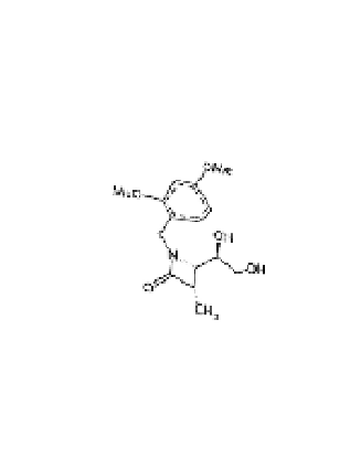 COc1ccc(CN2C(=O)[C@@H](C)[C@H]2[C@@H](O)CO)c(OC)c1